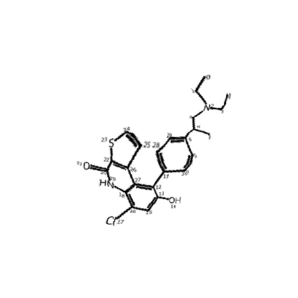 CCN(CC)CC(C)c1ccc(-c2c(O)cc(Cl)c3[nH]c(=O)c4sccc4c23)cc1